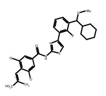 CCCCOC(c1cccc(-c2csc(NC(=O)c3cc(Cl)c(/C=C(\C)C(=O)O)c(Cl)c3)n2)c1F)C1CCCCC1